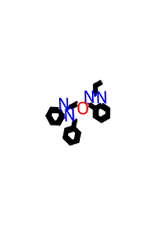 CCc1nc(OCc2nc3ccccc3n2Cc2ccccc2)c2ccccc2n1